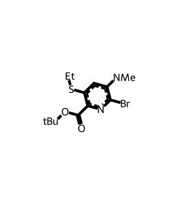 CCSc1cc(NC)c(Br)nc1C(=O)OC(C)(C)C